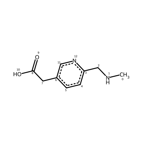 CNCc1ccc(CC(=O)O)cn1